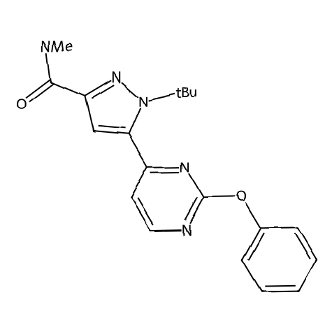 CNC(=O)c1cc(-c2ccnc(Oc3ccccc3)n2)n(C(C)(C)C)n1